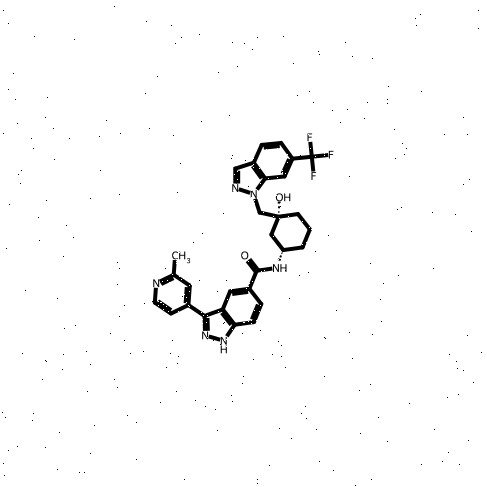 Cc1cc(-c2n[nH]c3ccc(C(=O)N[C@H]4CCC[C@](O)(Cn5ncc6ccc(C(F)(F)F)cc65)C4)cc23)ccn1